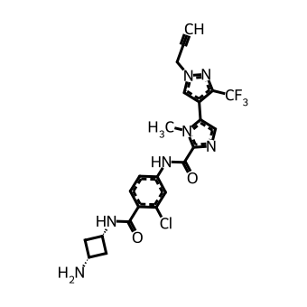 C#CCn1cc(-c2cnc(C(=O)Nc3ccc(C(=O)N[C@H]4C[C@@H](N)C4)c(Cl)c3)n2C)c(C(F)(F)F)n1